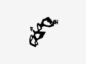 Fc1c(OC2CCNCC2)ccc2c1OCCO2